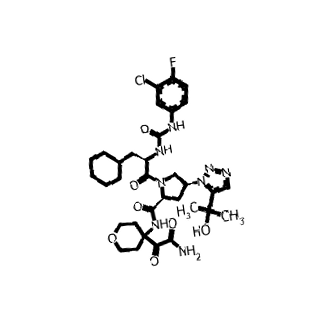 CC(C)(O)c1cnnn1[C@H]1C[C@@H](C(=O)NC2(C(=O)C(N)=O)CCOCC2)N(C(=O)[C@@H](CC2CCCCC2)NC(=O)Nc2ccc(F)c(Cl)c2)C1